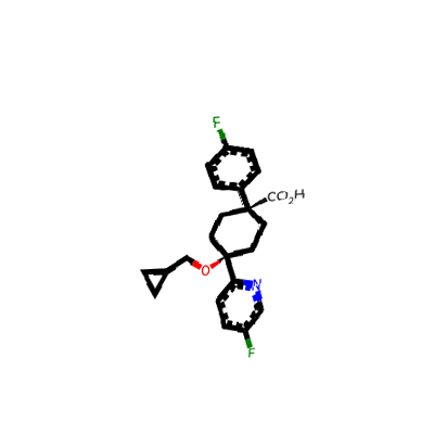 O=C(O)[C@]1(c2ccc(F)cc2)CC[C@@](OCC2CC2)(c2ccc(F)cn2)CC1